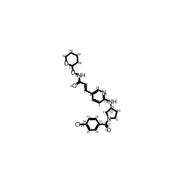 O=C(C=Cc1ccc(N[C@H]2CCN(C(=O)c3ccc(Cl)cc3)C2)nc1)NOC1CCCCO1